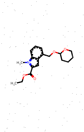 CCOC(=O)c1cc2c(COC3CCCCO3)cccc2n1C